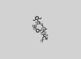 CCc1cccc(CC)c1-c1cc2nc(n1)NS(=O)(=O)c1cccc(c1)C(=O)N(Cc1cnc3c(CCOC)c(C(C)(C)C)n(C)c3n1)[C@H](CC(C)C)CO2